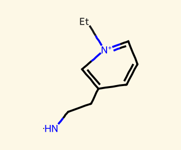 CC[n+]1cccc(CC[NH])c1